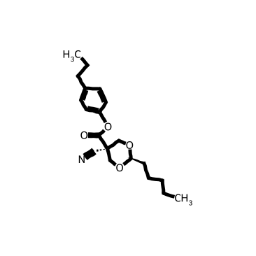 CCCCC[C@H]1OC[C@@](C#N)(C(=O)Oc2ccc(CCC)cc2)CO1